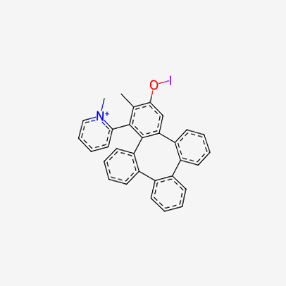 Cc1c(OI)cc2c(c1-c1cccc[n+]1C)-c1ccccc1-c1ccccc1-c1ccccc1-2